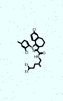 CCC(CC)CCC(C)CNC(=O)c1nn(C2=CCC(C)C=C2Cl)c2c1CCCc1cc(Cl)ccc1-2